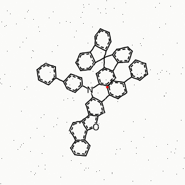 c1ccc(-c2ccc(-c3cc4oc5c6ccccc6ccc5c4cc3N(c3ccc(-c4ccccc4)cc3)c3ccc4c(c3)C3(c5ccccc5-c5ccccc53)c3ccccc3-4)cc2)cc1